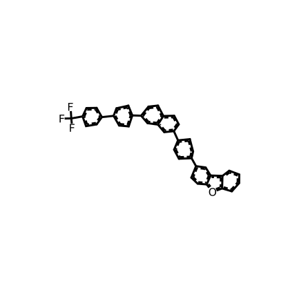 FC(F)(F)c1ccc(-c2ccc(-c3ccc4ccc(-c5ccc(-c6ccc7oc8ccccc8c7c6)cc5)cc4c3)cc2)cc1